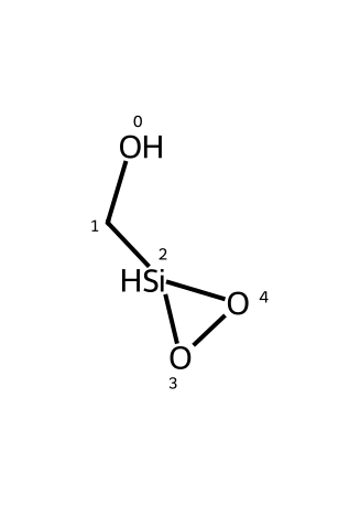 OC[SiH]1OO1